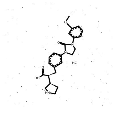 COc1cccc(N2CCN(c3cccc(C[C@H](C(=O)O)[C@H]4CCNC4)c3)C2=O)c1.Cl